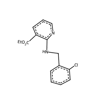 CCOC(=O)c1cccnc1NCc1ccccc1Cl